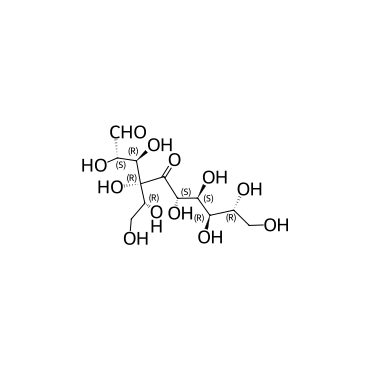 O=C[C@@H](O)[C@@H](O)[C@@](O)(C(=O)[C@@H](O)[C@@H](O)[C@H](O)[C@H](O)CO)[C@H](O)CO